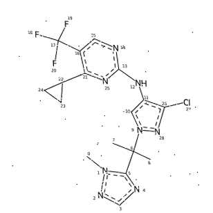 Cn1ncnc1C(C)(C)n1cc(Nc2ncc(C(F)(F)F)c(C3CC3)n2)c(Cl)n1